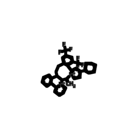 C=C1C2C(CCc3cc(C(F)(F)F)cc(C(F)(F)F)c3-c3cc(-c4ccccc4)cc[n+]31)c1ccccc1-c1cccc[n+]12